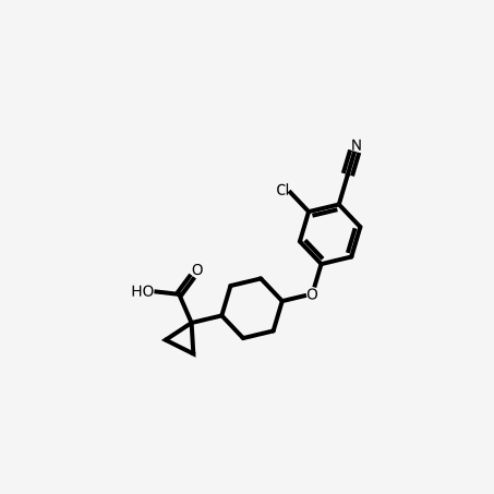 N#Cc1ccc(OC2CCC(C3(C(=O)O)CC3)CC2)cc1Cl